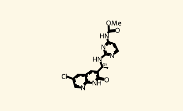 COC(=O)Nc1ccnc(N[C@@H](C)c2cc3cc(Cl)cnc3[nH]c2=O)n1